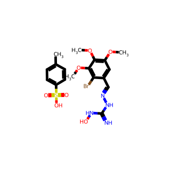 COc1cc(/C=N/NC(=N)NO)c(Br)c(OC)c1OC.Cc1ccc(S(=O)(=O)O)cc1